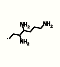 [CH2]CC(N)C(N)CCCN